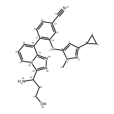 Cn1nc(C2CC2)cc1Oc1cc(C#N)ccc1-c1cccn2c(C(N)CCO)nnc12